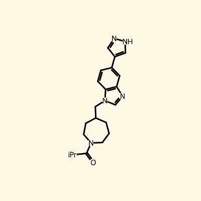 CC(C)C(=O)N1CCCC(Cn2cnc3cc(-c4cn[nH]c4)ccc32)CC1